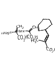 C=C(CCCCCC)C(=O)O.C=C(CCCCCCC)C(=O)O.CC(=CC1CCCCC1)C(=O)O